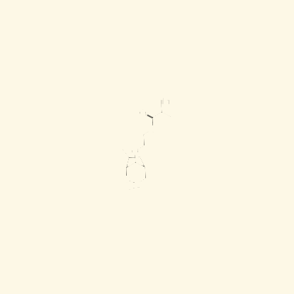 CC(C)C(C)C(=O)OCCOC1C2CC(C)C1OS(=O)(=O)C2